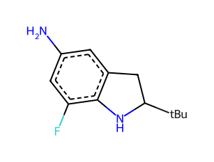 CC(C)(C)C1Cc2cc(N)cc(F)c2N1